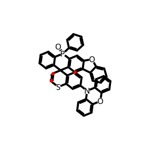 O=P1(c2ccccc2)c2ccccc2C2(c3ccccc3Sc3cc(N4c5ccccc5Oc5ccccc54)ccc32)c2cc3c(cc21)oc1ccccc13